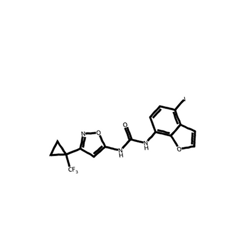 O=C(Nc1cc(C2(C(F)(F)F)CC2)no1)Nc1ccc(I)c2ccoc12